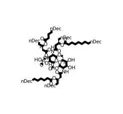 CCCCCCCCCCCCCCCCCC(=O)O[C@H](CCCCCCCCCCC)CC(=O)N[C@@H]1[C@H](OC[C@H]2O[C@H](O)[C@@H](NC(=O)C[C@@H](CCCCCCCCCCC)OC(=O)CCCCCCCCCCCCCCC)[C@@H](O)[C@@H]2O)O[C@H](CO)[C@@H](OP(=O)(O)O)[C@@H]1OC(=O)C[C@@H](CCCCCCCCCCC)OC(=O)CCCCCCCCCCCCC